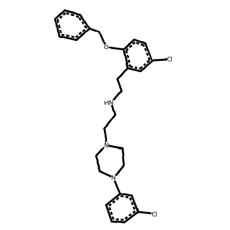 Clc1cccc(N2CCN([CH]CNCCc3cc(Cl)ccc3OCc3ccccc3)CC2)c1